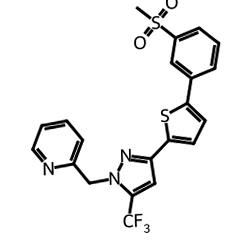 CS(=O)(=O)c1cccc(-c2ccc(-c3cc(C(F)(F)F)n(Cc4ccccn4)n3)s2)c1